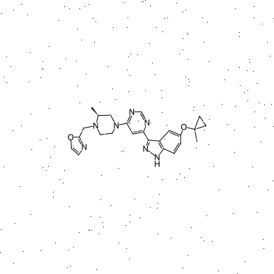 C[C@H]1CN(c2cc(-c3n[nH]c4ccc(OC5(C)CC5)cc34)ncn2)CCN1Cc1ncco1